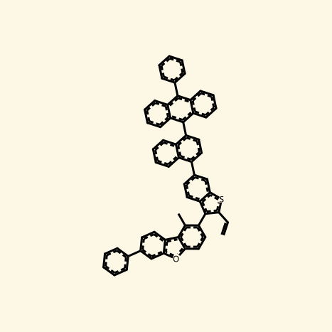 C=Cc1sc2cc(-c3ccc(-c4c5ccccc5c(-c5ccccc5)c5ccccc45)c4ccccc34)ccc2c1-c1ccc2oc3cc(-c4ccccc4)ccc3c2c1C